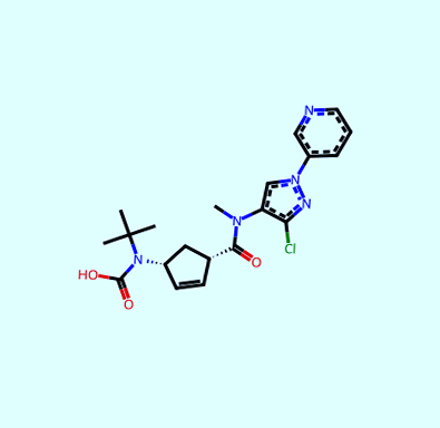 CN(C(=O)[C@@H]1C=C[C@H](N(C(=O)O)C(C)(C)C)C1)c1cn(-c2cccnc2)nc1Cl